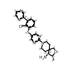 C[C@@H]1OCC2(CCN(c3ncc(Sc4cccc(-c5cnccn5)c4Cl)cn3)CC2)[C@@H]1N